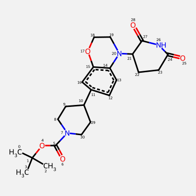 CC(C)(C)OC(=O)N1CCC(c2ccc3c(c2)OCCN3C2CCC(=O)NC2=O)CC1